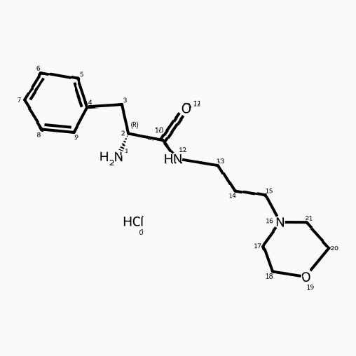 Cl.N[C@H](Cc1ccccc1)C(=O)NCCCN1CCOCC1